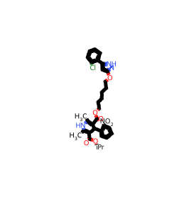 CC1=C(C(=O)OCCCCCCOc2cc(-c3ccccc3Cl)[nH]n2)C(c2ccccc2[N+](=O)[O-])C(C(=O)OC(C)C)=C(C)N1